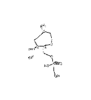 N[C@@H]1CO[C@H](COP(=O)(O)O)[C@@H](O)C1.[NaH]